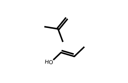 C=C(C)C.CC=CO